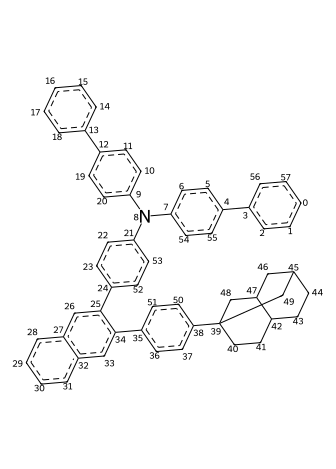 c1ccc(-c2ccc(N(c3ccc(-c4ccccc4)cc3)c3ccc(-c4cc5ccccc5cc4-c4ccc(C56CCC7CCC(CC7C5)C6)cc4)cc3)cc2)cc1